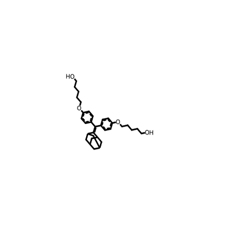 OCCCCCOc1ccc(C(=C2C3CC4CC(C3)CC2C4)c2ccc(OCCCCCO)cc2)cc1